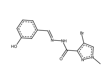 Cn1cc(Br)c(C(=O)NN=Cc2cccc(O)c2)n1